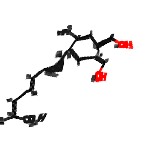 CCCc1cc(=CO)c(=CO)cc1C=CC=CC=C(C#N)C(=O)O